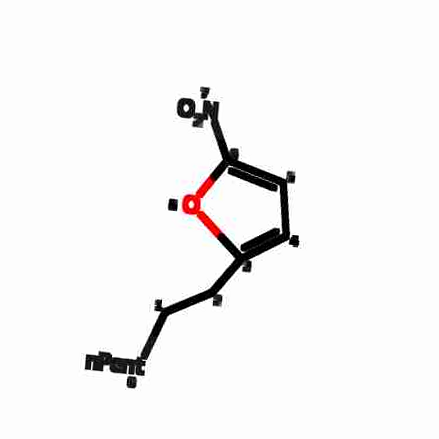 CCCCCCCc1ccc([N+](=O)[O-])o1